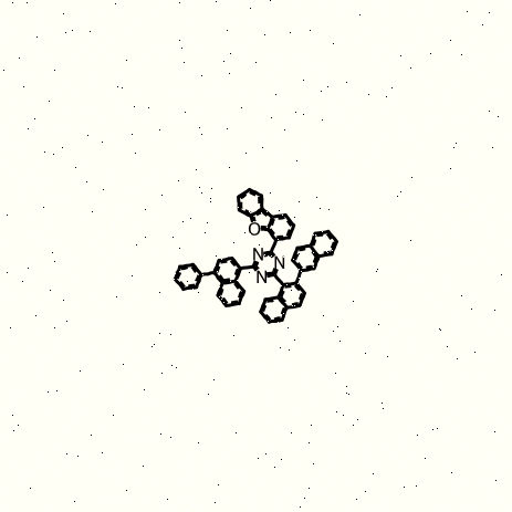 c1ccc(-c2ccc(-c3nc(-c4c(-c5ccc6ccccc6c5)ccc5ccccc45)nc(-c4cccc5c4oc4ccccc45)n3)c3ccccc23)cc1